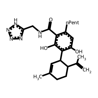 C=C(C)C1CCC(C)=CC1c1c(O)cc(CCCCC)c(C(=O)NCc2nnn[nH]2)c1O